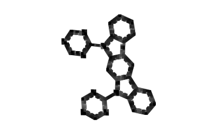 c1ccc2c(c1)c1cc3c4ccccc4n(-c4ncncn4)c3cc1n2-c1ncncn1